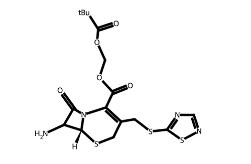 CC(C)(C)C(=O)OCOC(=O)C1=C(CSc2ncns2)CS[C@@H]2C(N)C(=O)N12